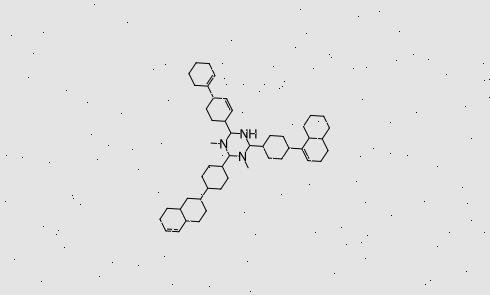 CN1C(C2C=CC(C3=CCCCC3)CC2)NC(C2CCC(C3=CCCC4CCCCC34)CC2)N(C)C1C1CCC(C2CCC3C=CCCC3C2)CC1